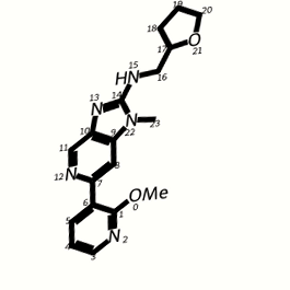 COc1ncccc1-c1cc2c(cn1)nc(NCC1CCCO1)n2C